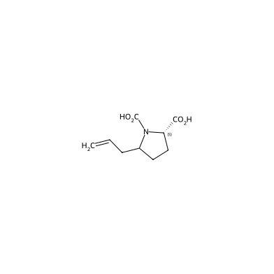 C=CCC1CC[C@@H](C(=O)O)N1C(=O)O